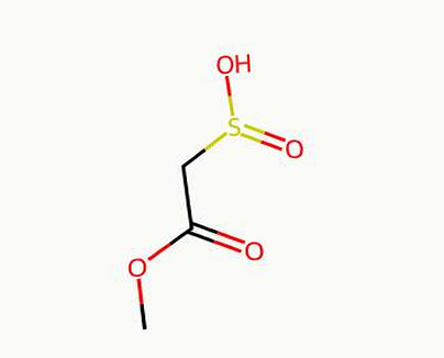 COC(=O)CS(=O)O